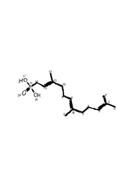 CC(C)=CCCC(C)=CCCC(C)=CCP(=O)(O)O